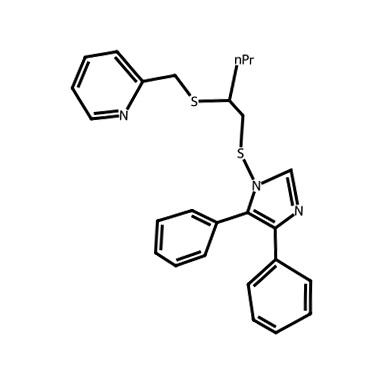 CCCC(CSn1cnc(-c2ccccc2)c1-c1ccccc1)SCc1ccccn1